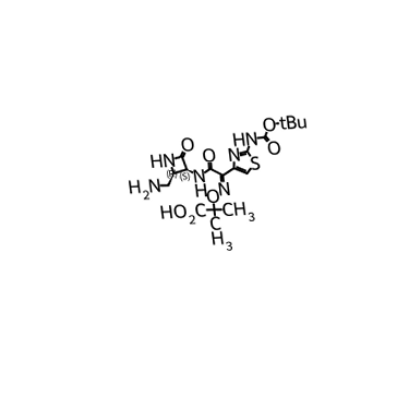 CC(C)(C)OC(=O)Nc1nc(C(=NOC(C)(C)C(=O)O)C(=O)N[C@@H]2C(=O)N[C@@H]2CN)cs1